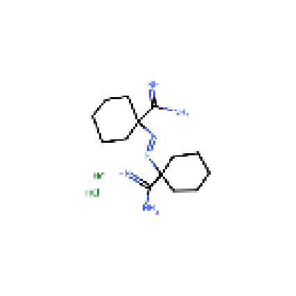 Cl.Cl.N=C(N)C1(N=NC2(C(=N)N)CCCCC2)CCCCC1